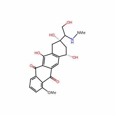 CNNC(CO)[C@]1(O)Cc2c(cc3c(c2O)C(=O)c2cccc(OC)c2C3=O)[C@@H](O)C1